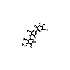 Cc1c(C(C)C)c(Oc2c(Cl)cc(-n3nc(C#N)c(=O)[nH]c3=O)cc2Cl)n[nH]c1=O